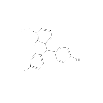 COc1cccc(C(c2ccc(N)cc2)c2ccc(N)cc2)c1O